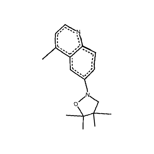 Cc1ccnc2ccc(N3CC(C)(C)C(C)(C)O3)cc12